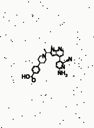 C[C@@H](c1cc2c(-c3ccc(N)nc3C#N)ccnc2n1C)N1CCC(c2ccc(C(=O)O)cc2)CC1